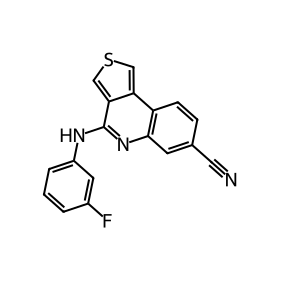 N#Cc1ccc2c(c1)nc(Nc1cccc(F)c1)c1cscc12